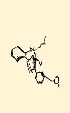 CCCCc1nc2ccccc2c2nc(-c3cccc(OC)c3)nn12